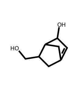 OCC1CC2=CC(O)C1C2